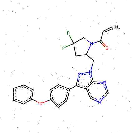 C=CC(=O)N1CC(F)(F)CC1Cn1nc(-c2ccc(Oc3ccccc3)cc2)c2cncnc21